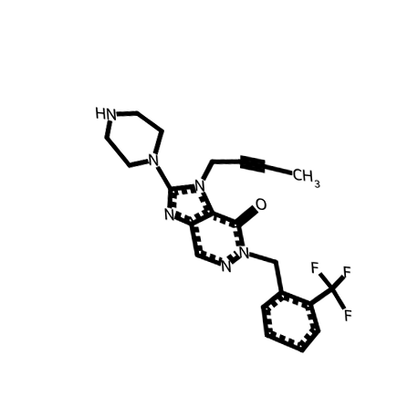 CC#CCn1c(N2CCNCC2)nc2cnn(Cc3ccccc3C(F)(F)F)c(=O)c21